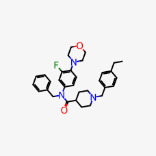 CCc1ccc(CN2CCC(C(=O)N(Cc3ccccc3)c3ccc(N4CCOCC4)c(F)c3)CC2)cc1